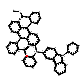 COC(=O)c1ccccc1-c1c2ccccc2c(-c2ccccc2C(=O)OC)c2cc(N(c3ccccc3)c3ccc4c(c3)c3ccccc3n4-c3ccccc3)ccc12